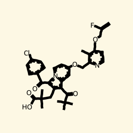 C=C(F)COc1ccnc(COc2ccn3c(C(=O)c4ccc(Cl)cc4)c(CC(C)(C)C(=O)O)c(C(=O)C(C)(C)C)c3c2)c1C